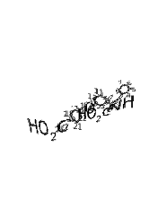 O=C(O)N[C@@H](c1ccccc1)c1cccc(OCc2ccc(C(=O)O)cc2)c1